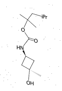 CC(C)CC(C)(C)OC(=O)N[C@H]1C[C@@](C)(O)C1